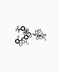 C/C(=C\c1ccc2c(c1)N(S(=O)(=O)c1cccc(C(F)(F)F)c1)C[C@H](CCNC(=O)C(C)(C)O)O2)c1c(F)cccc1Cl